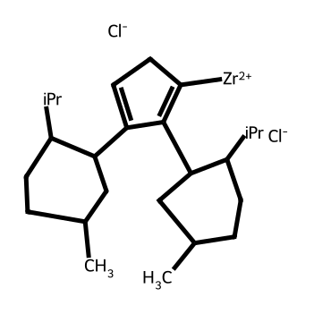 CC1CCC(C(C)C)C(C2=CC[C]([Zr+2])=C2C2CC(C)CCC2C(C)C)C1.[Cl-].[Cl-]